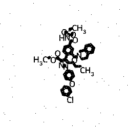 CCCCc1c(-c2ccc(C(=O)NS(=O)(=O)CC)cc2C(=O)N2CCc3ccccc3C2)c(C(=O)OCC)nn1-c1ccc(Oc2cccc(Cl)c2)cc1